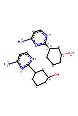 Nc1ccnc(C2CCCC(O)C2)n1.Nc1ccnc([C@@H]2CCC[C@@H](O)C2)n1